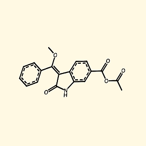 CO/C(=C1/C(=O)Nc2cc(C(=O)OC(C)=O)ccc21)c1ccccc1